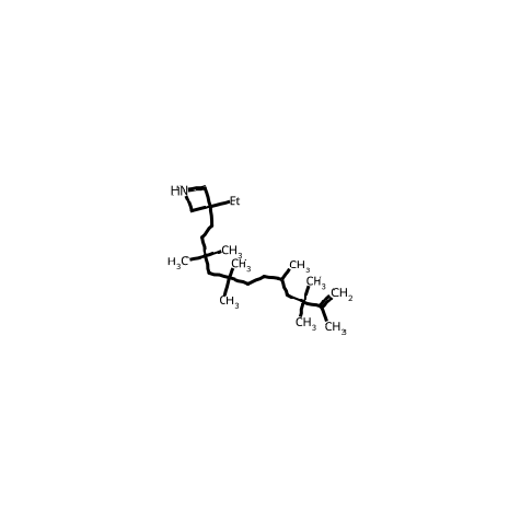 C=C(C)C(C)(C)CC(C)CCC(C)(C)CC(C)(C)CCC1(CC)CNC1